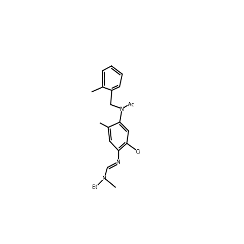 CCN(C)C=Nc1cc(C)c(N(Cc2ccccc2C)C(C)=O)cc1Cl